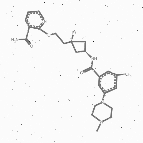 CC[C@]1(CCOc2ncccc2C(N)=O)C[C@H](NC(=O)c2cc(N3CCN(C)CC3)cc(C(F)(F)F)c2)C1